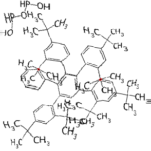 CC(C)(C)c1ccc(-c2cc(-c3ccc(C(C)(C)C)cc3C(C)(C)C)c(-c3ccc(C(C)(C)C)cc3C(C)(C)C)c(-c3ccc(C(C)(C)C)cc3C(C)(C)C)c2-c2ccccc2)c(C(C)(C)C)c1.OPOPO